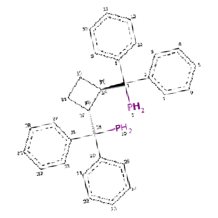 PC(c1ccccc1)(c1ccccc1)[C@@H]1CC[C@H]1C(P)(c1ccccc1)c1ccccc1